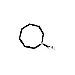 [CH2]N1CCCCCCC1